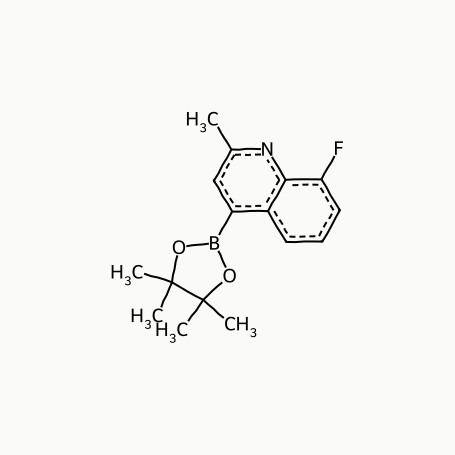 Cc1cc(B2OC(C)(C)C(C)(C)O2)c2cccc(F)c2n1